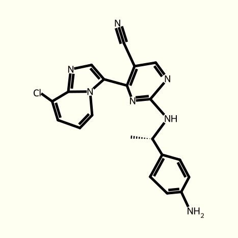 C[C@H](Nc1ncc(C#N)c(-c2cnc3c(Cl)cccn23)n1)c1ccc(N)cc1